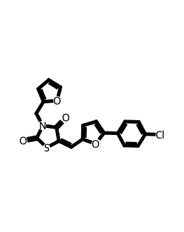 O=C1S/C(=C/c2ccc(-c3ccc(Cl)cc3)o2)C(=O)N1Cc1ccco1